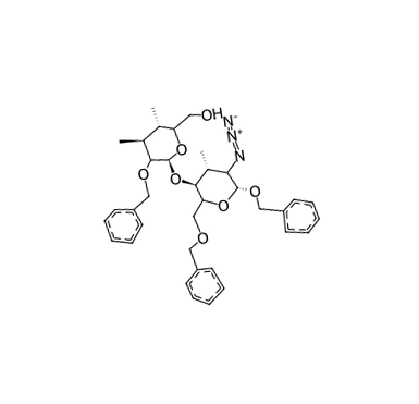 C[C@@H]1C(CO)O[C@@H](O[C@@H]2C(COCc3ccccc3)O[C@@H](OCc3ccccc3)C(N=[N+]=[N-])[C@H]2C)C(OCc2ccccc2)[C@H]1C